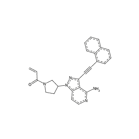 C=CC(=O)N1CCC(n2nc(C#Cc3cccc4ccccc34)c3c(N)nccc32)C1